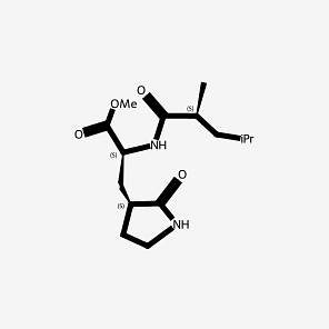 COC(=O)[C@H](C[C@@H]1CCNC1=O)NC(=O)[C@@H](C)CC(C)C